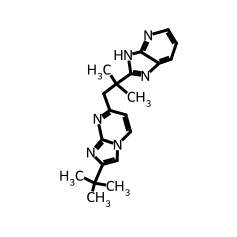 CC(C)(C)c1cn2ccc(CC(C)(C)c3nc4cccnc4[nH]3)nc2n1